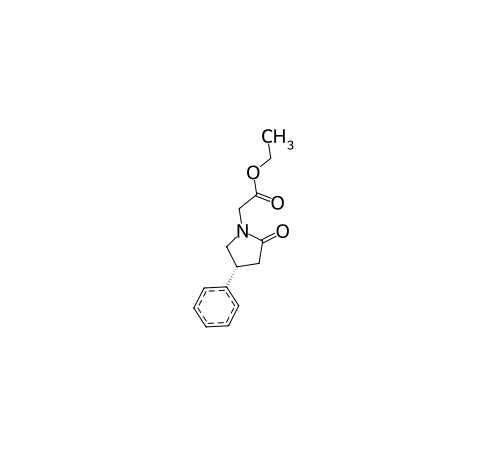 CCOC(=O)CN1C[C@@H](c2ccccc2)CC1=O